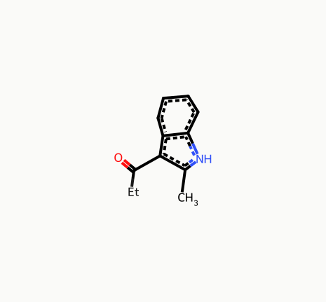 CCC(=O)c1c(C)[nH]c2ccccc12